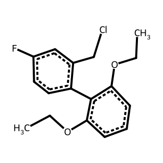 CCOc1cccc(OCC)c1-c1ccc(F)cc1CCl